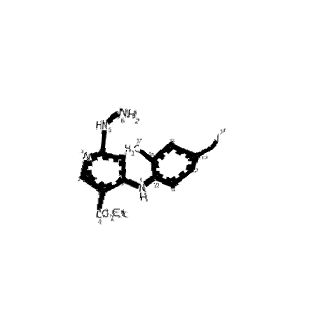 CCOC(=O)c1cnc(NN)cc1Nc1ccc(I)cc1C